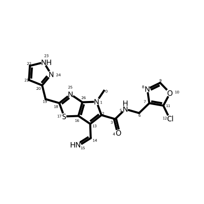 Cn1c(C(=O)NCc2ncoc2Cl)c(C=N)c2sc(Cc3cc[nH]n3)nc21